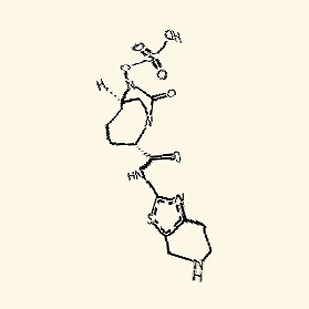 O=C(Nc1nc2c(s1)CNCC2)[C@@H]1CC[C@@H]2CN1C(=O)N2OS(=O)(=O)O